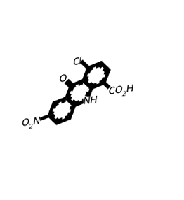 O=C(O)c1ccc(Cl)c2c(=O)c3cc([N+](=O)[O-])ccc3[nH]c12